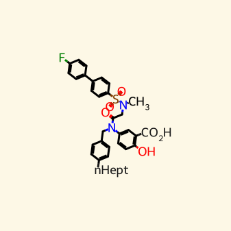 CCCCCCCc1ccc(CN(C(=O)CN(C)S(=O)(=O)c2ccc(-c3ccc(F)cc3)cc2)c2ccc(O)c(C(=O)O)c2)cc1